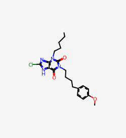 CCCCCn1c(=O)n(CCCCc2ccc(OC)cc2)c(=O)c2[nH]c(Cl)nc21